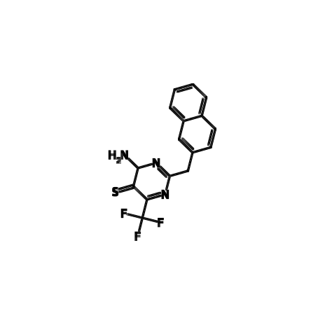 NC1N=C(Cc2ccc3ccccc3c2)N=C(C(F)(F)F)C1=S